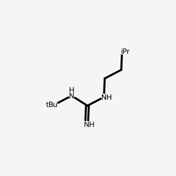 CC(C)CCNC(=N)NC(C)(C)C